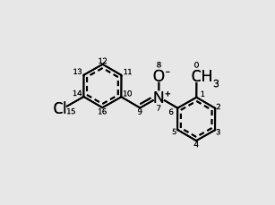 Cc1ccccc1[N+]([O-])=Cc1cccc(Cl)c1